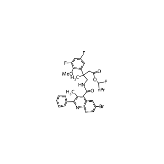 CCCC(F)OC(=O)CC(C)(CNC(=O)c1c(C)c(-c2ccccc2)nc2ccc(Br)cc12)c1cc(F)cc(F)c1OC